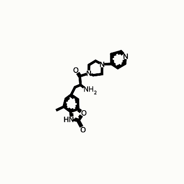 Cc1cc(CC(N)C(=O)N2CCN(c3ccncc3)CC2)cc2oc(=O)[nH]c12